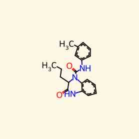 CCCC1C(=O)Nc2ccccc2N1C(=O)Nc1cccc(C)c1